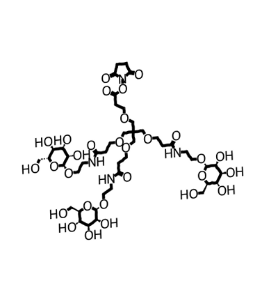 O=C(CCOCC(COCCC(=O)NCCO[C@H]1O[C@H](CO)[C@@H](O)[C@H](O)[C@@H]1O)(COCCC(=O)NCCO[C@H]1O[C@H](CO)[C@@H](O)[C@H](O)[C@@H]1O)COCCC(=O)ON1C(=O)CCC1=O)NCCO[C@H]1O[C@H](CO)[C@@H](O)[C@H](O)[C@@H]1O